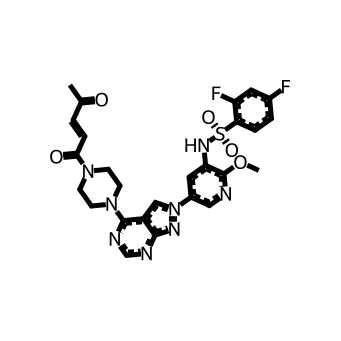 COc1ncc(-n2cc3c(N4CCN(C(=O)/C=C/C(C)=O)CC4)ncnc3n2)cc1NS(=O)(=O)c1ccc(F)cc1F